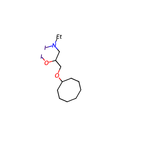 CCN(I)CC(COC1CCCCCCC1)OI